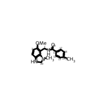 COc1ccc2c(c1CNC(=O)c1ccc(C)cc1)N(C)CN2